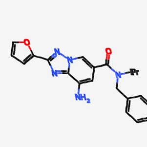 CC(C)N(Cc1ccccc1)C(=O)c1cc(N)c2nc(-c3ccco3)nn2c1